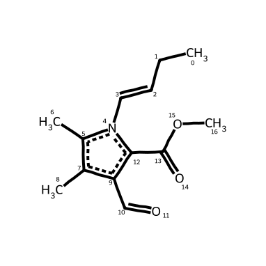 CCC=Cn1c(C)c(C)c(C=O)c1C(=O)OC